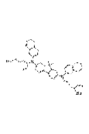 C=C/C(=C\C=C\C(C)(C)C)N(C1=CCC2CCC=CC2=C1)C1=CC=C2C3=CC=C(N(/C=C/CC(C=C)C(C)(C)C)c4ccc5c(c4)C=CCC5)CC3C(C)(C)C2C1